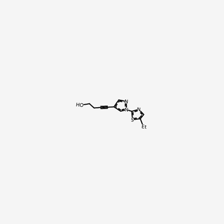 CCc1cnc(-n2cc(C#CCCO)cn2)s1